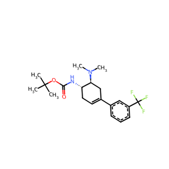 CN(C)[C@H]1CC(c2cccc(C(F)(F)F)c2)=CC[C@@H]1NC(=O)OC(C)(C)C